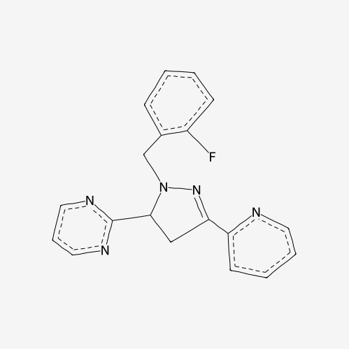 Fc1ccccc1CN1N=C(c2ccccn2)CC1c1ncccn1